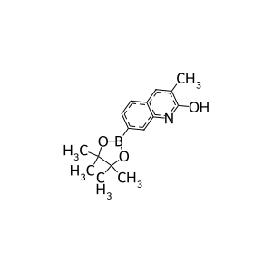 Cc1cc2ccc(B3OC(C)(C)C(C)(C)O3)cc2nc1O